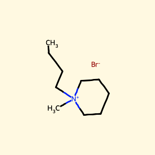 CCCC[N+]1(C)CCCCC1.[Br-]